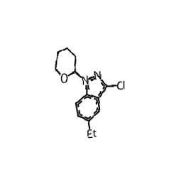 CCc1ccc2c(c1)c(Cl)nn2C1CCCCO1